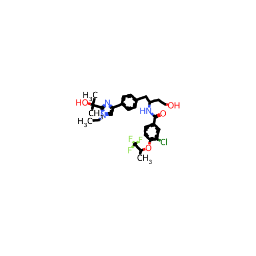 CCn1cc(-c2ccc(CC(CCO)NC(=O)c3ccc(OC(C)C(F)(F)F)c(Cl)c3)cc2)nc1C(C)(C)O